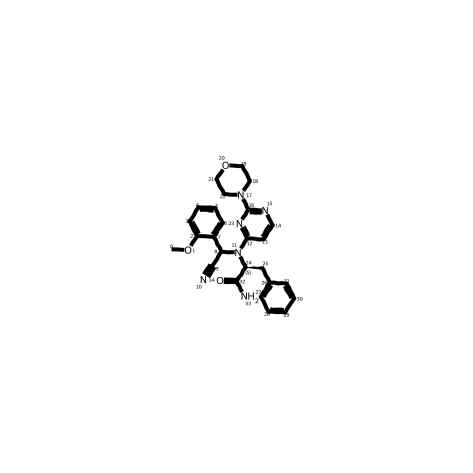 COc1ccccc1C(C#N)N(c1ccnc(N2CCOCC2)n1)[C@@H](Cc1ccccc1)C(N)=O